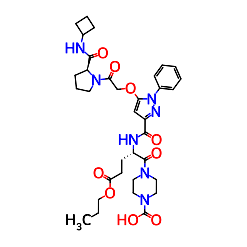 CCCOC(=O)CC[C@H](NC(=O)c1cc(OCC(=O)N2CCC[C@H]2C(=O)NC2CCC2)n(-c2ccccc2)n1)C(=O)N1CCN(C(=O)O)CC1